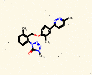 Cc1ccc(-c2ccc(OCc3c(C)cccc3-n3nnn(C)c3=O)c(C)c2)nn1